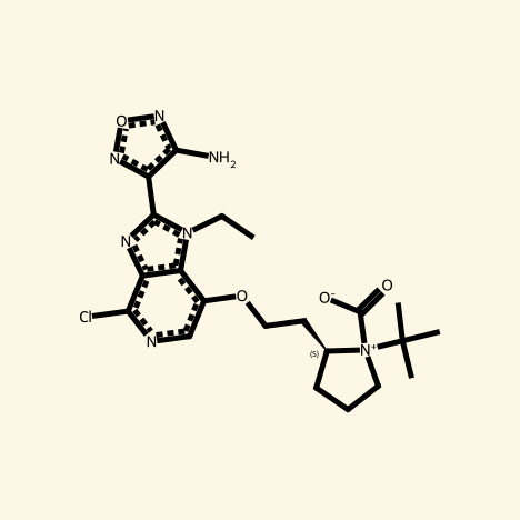 CCn1c(-c2nonc2N)nc2c(Cl)ncc(OCC[C@@H]3CCC[N+]3(C(=O)[O-])C(C)(C)C)c21